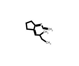 C=C/P=C1/CCC/C1=C/C(C)CC